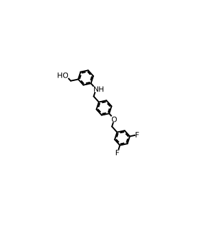 OCc1cccc(NCc2ccc(OCc3cc(F)cc(F)c3)cc2)c1